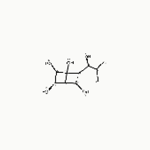 CC(C)[C@H](O)[C@@H]1C(O)C2[C@@H](O)C(O)C21O